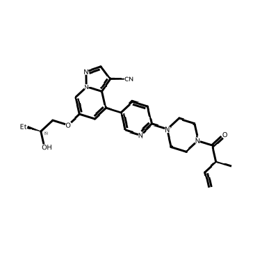 C=CC(C)C(=O)N1CCN(c2ccc(-c3cc(OC[C@@H](O)CC)cn4ncc(C#N)c34)cn2)CC1